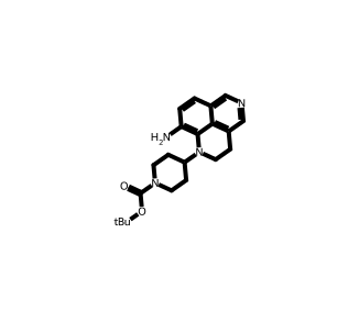 CC(C)(C)OC(=O)N1CCC(N2CCc3cncc4ccc(N)c2c34)CC1